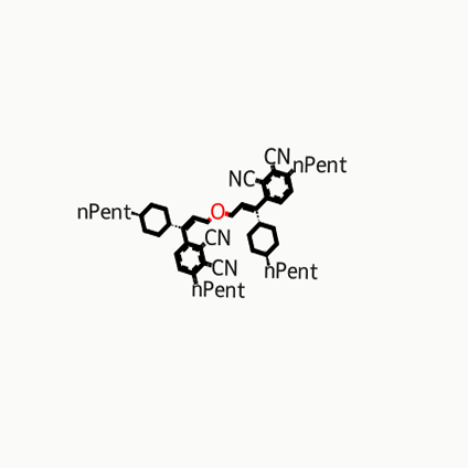 CCCCCc1ccc(C(=CCOCC=C(c2ccc(CCCCC)c(C#N)c2C#N)[C@H]2CC[C@H](CCCCC)CC2)[C@H]2CC[C@H](CCCCC)CC2)c(C#N)c1C#N